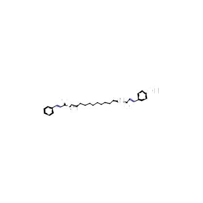 O=C(/C=C/c1ccccc1)NCCCCCCCCCCCCNC(=O)/C=C/c1ccc(O)cc1